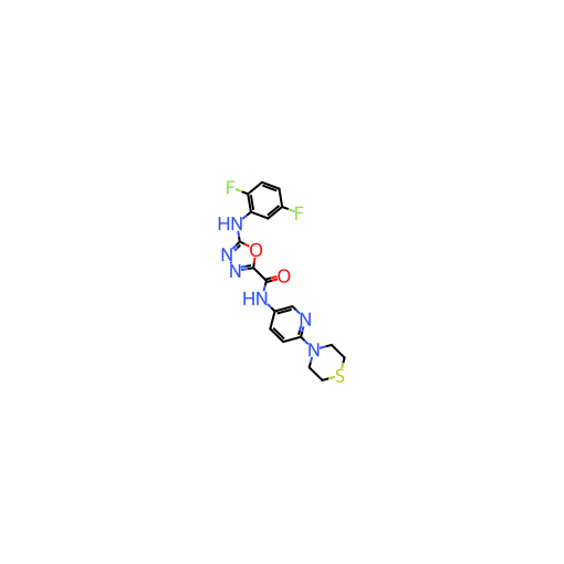 O=C(Nc1ccc(N2CCSCC2)nc1)c1nnc(Nc2cc(F)ccc2F)o1